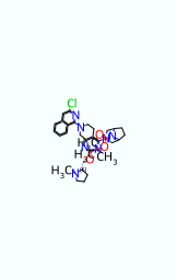 CN1CCC[C@H]1COc1nc2c(c(N3CC4CCC(C3)N4C(=O)OC(C)(C)C)n1)CCN(c1nc(Cl)cc3ccccc13)C2